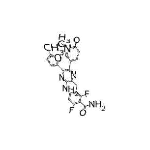 Cc1ccc(-c2nc(N)c(Cc3ccc(F)c(C(N)=O)c3F)nc2-c2ccc(=O)n(C)c2)o1